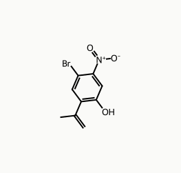 C=C(C)c1cc(Br)c([N+](=O)[O-])cc1O